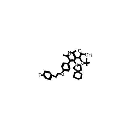 Cc1nc(C)c(C(OC(C)(C)C)C(=O)O)c(N2CCC3(CCCCC3)C2)c1-c1ccc(OCCc2ccc(F)cc2)cc1